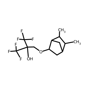 CC1C2CC(OCC(O)(C(F)(F)F)C(F)(F)F)C(C2)C1C